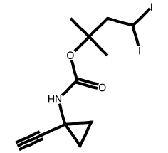 C#CC1(NC(=O)OC(C)(C)CC(I)I)CC1